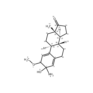 COC1C=C2C(=CC1(N)O)CC[C@@H]1[C@@H]2CC[C@]2(C)C(=O)CC[C@@H]12